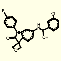 O=C(Nc1ccc(F)cc1)C1(c2ccc(NC(O)c3cccc(Cl)c3)cc2)COC1